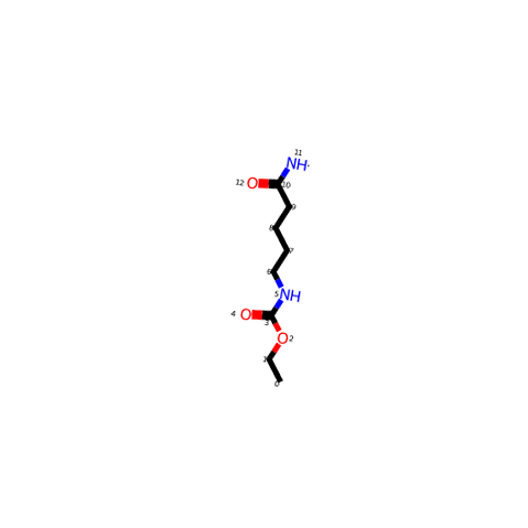 CCOC(=O)NCCCCC([NH])=O